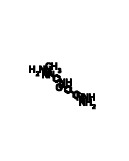 CN(CCc1ccc(NC(=O)c2ccc(C3=CCN(C(=N)N)CC3)cc2)cc1)C(=N)N